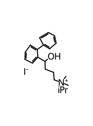 CC(C)[N+](C)(C)CCCC(O)c1ccccc1-c1ccccc1.[I-]